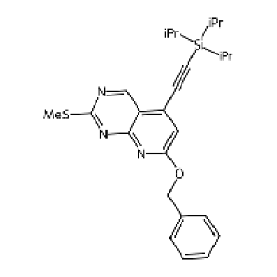 CSc1ncc2c(C#C[Si](C(C)C)(C(C)C)C(C)C)cc(OCc3ccccc3)nc2n1